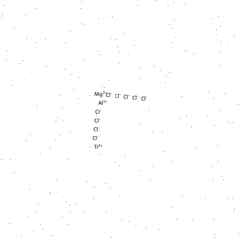 [Al+3].[Cl-].[Cl-].[Cl-].[Cl-].[Cl-].[Cl-].[Cl-].[Cl-].[Cl-].[Mg+2].[Ti+4]